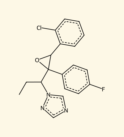 CCC(n1cncn1)C1(c2ccc(F)cc2)OC1c1ccccc1Cl